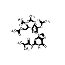 CC(=O)OCC(OC(C)=O)[C@H]1O[C@@H](n2cnc3c(=O)[nH]c(NC(=O)C(C)C)nc32)[C@H](OC(C)=O)[C@@H]1OC(C)=O